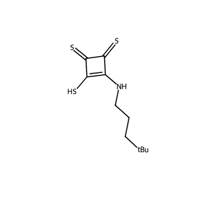 CC(C)(C)CCCNc1c(S)c(=S)c1=S